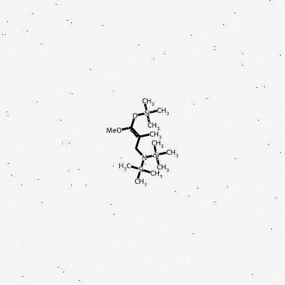 COC(O[Si](C)(C)C)=C(C)CN([Si](C)(C)C)[Si](C)(C)C